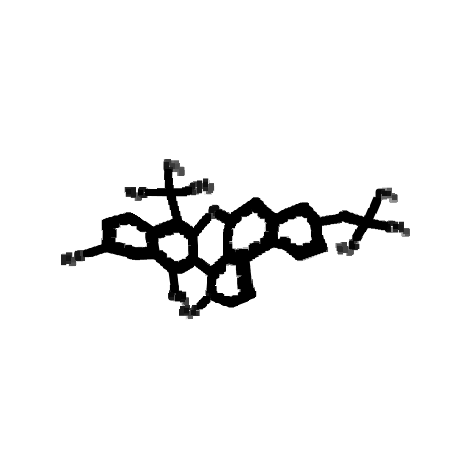 Cc1ccc2c(C(C)(C)C)c3c(c(C)c2c1)-c1c2c(cc4cc(CC(C)(C)C)ccc4c2cc[n+]1C)O3